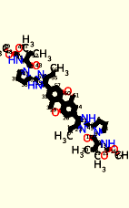 CCc1nc([C@@H]2CCCN2C(=O)[C@@H](NC(=O)OC)C(C)C)[nH]c1-c1cc2c3c(c1)OCc1cc(-c4[nH]c([C@@H]5CCCN5C(=O)[C@@H](NC(=O)OC)C(C)C)nc4CC)cc(c1-3)OC2